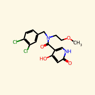 COCCN(Cc1ccc(Cl)c(Cl)c1)C(=O)c1c[nH]c(=O)cc1O